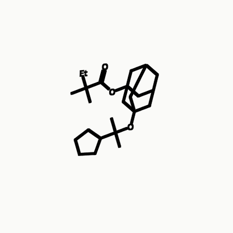 CCC(C)(C)C(=O)OC12CC3CC(C1)CC(OC(C)(C)C1CCCC1)(C3)C2